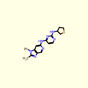 Cc1nc2cnc(Nc3ccnc(NC4CCSC4)n3)cc2n1C(C)C